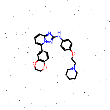 c1cc(-c2ccc3c(c2)OCCO3)n2nc(Nc3ccc(OCCN4CCCCC4)cc3)nc2c1